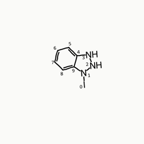 IN1NNc2ccccc21